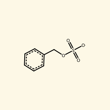 [O]S(=O)(=O)OCc1ccccc1